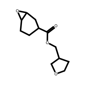 O=C(OCC1CCOC1)C1CCC2OC2C1